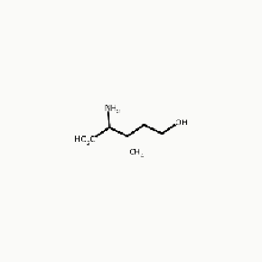 C.NC(CCCO)C(=O)O